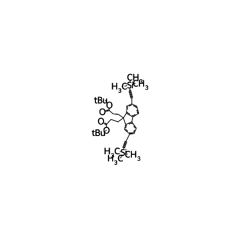 CC(C)(C)OC(=O)CCC1(CCC(=O)OC(C)(C)C)c2cc(C#C[Si](C)(C)C)ccc2-c2ccc(C#C[Si](C)(C)C)cc21